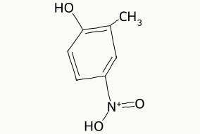 Cc1cc([N+](=O)O)ccc1O